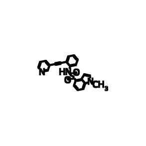 Cn1ccc2c(S(=O)(=O)Nc3ccccc3C#Cc3cccnc3)cccc21